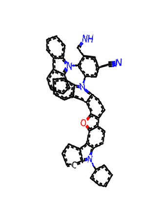 N#Cc1cc(C=N)c(-n2c3ccccc3c3ccccc32)c(-n2c3ccccc3c3c4oc5c(ccc6c5c5ccccc5n6-c5ccccc5)c4ccc32)c1